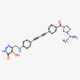 CN(C)C1CCN(C(=O)c2ccc(C#CC#Cc3ccc(NCc4nc[nH]c(=O)c4O)cc3)cc2)C1